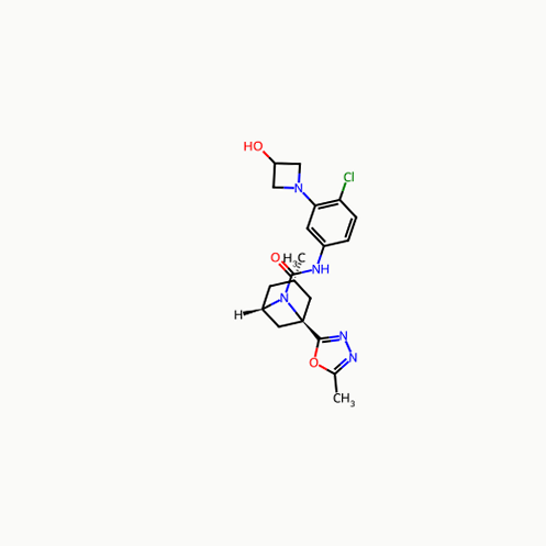 Cc1nnc([C@@]23C[C@@H](C)C[C@@H](C2)N3C(=O)Nc2ccc(Cl)c(N3CC(O)C3)c2)o1